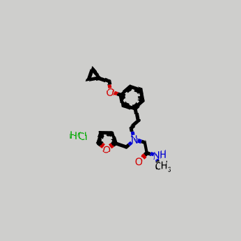 CNC(=O)CN(CCc1cccc(OCC2CC2)c1)Cc1ccco1.Cl